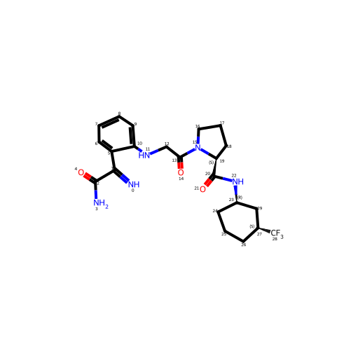 N=C(C(N)=O)c1ccccc1NCC(=O)N1CCC[C@H]1C(=O)N[C@@H]1CCC[C@H](C(F)(F)F)C1